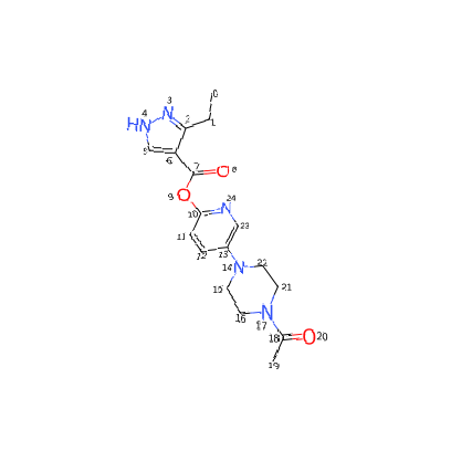 CCc1n[nH]cc1C(=O)Oc1ccc(N2CCN(C(C)=O)CC2)cn1